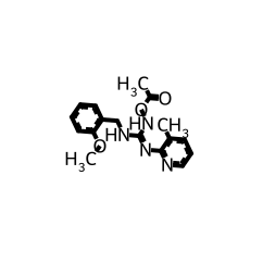 COc1ccccc1CNC(=Nc1ncccc1C)NOC(C)=O